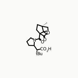 CC(C)(C)[C@H](C(=O)O)C1CCCN1C(=O)C12CC[C@@](C)(COC1=O)C2(C)C